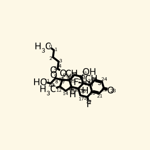 CCCCC(=O)O[C@@]1(C(=O)CO)C(C)C[C@H]2[C@@H]3CC(F)C4=CC(=O)C=C[C@]4(C)[C@@]3(F)[C@@H](O)C[C@@]21C